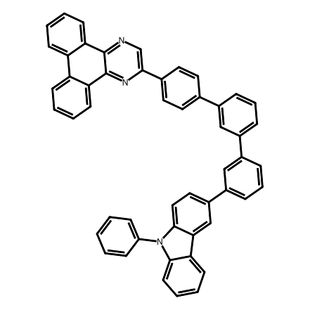 c1ccc(-n2c3ccccc3c3cc(-c4cccc(-c5cccc(-c6ccc(-c7cnc8c9ccccc9c9ccccc9c8n7)cc6)c5)c4)ccc32)cc1